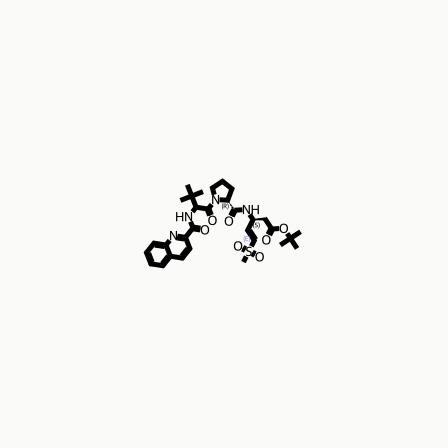 CC(C)(C)OC(=O)C[C@@H](/C=C/S(C)(=O)=O)NC(=O)[C@H]1CCCN1C(=O)C(NC(=O)c1ccc2ccccc2n1)C(C)(C)C